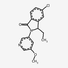 CCC1c2cc(Cl)ccc2C(=O)N1c1cncc(OC)c1